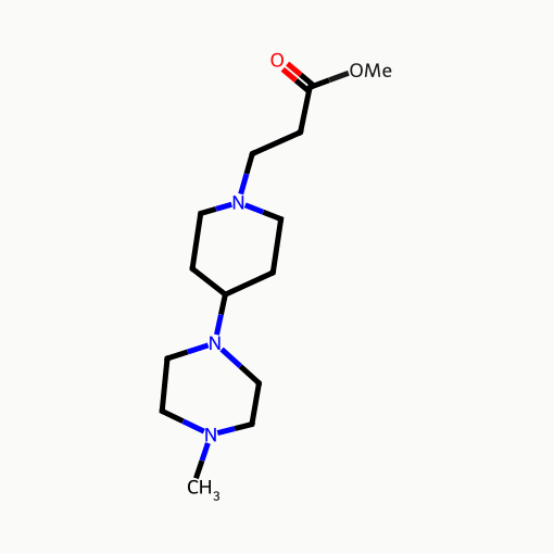 COC(=O)CCN1CCC(N2CCN(C)CC2)CC1